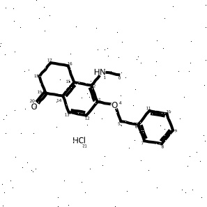 CNc1c(OCc2ccccc2)ccc2c1CCCC2=O.Cl